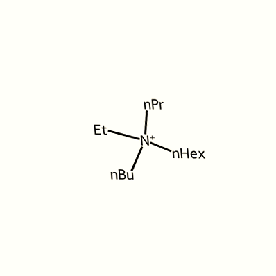 CCCCCC[N+](CC)(CCC)CCCC